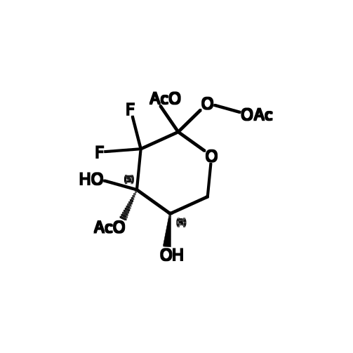 CC(=O)OOC1(OC(C)=O)OC[C@@H](O)[C@](O)(OC(C)=O)C1(F)F